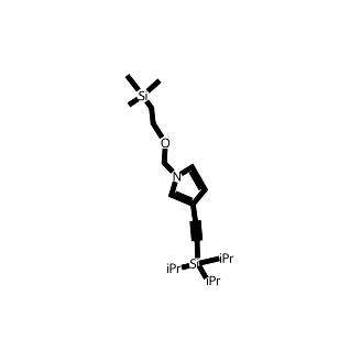 CC(C)[Si](C#Cc1ccn(COCC[Si](C)(C)C)c1)(C(C)C)C(C)C